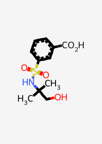 CC(C)(CO)NS(=O)(=O)c1cccc(C(=O)O)c1